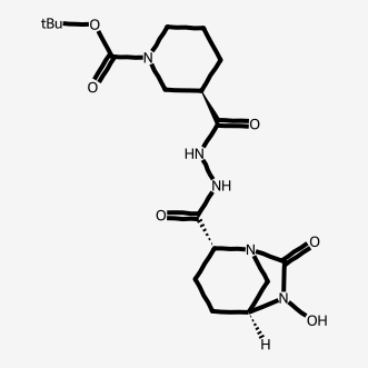 CC(C)(C)OC(=O)N1CCC[C@@H](C(=O)NNC(=O)[C@H]2CC[C@H]3CN2C(=O)N3O)C1